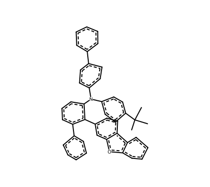 CC(C)(C)c1ccc(N(c2ccc(-c3ccccc3)cc2)c2cccc(-c3ccccc3)c2-c2ccc3c(c2)oc2ccccc23)cc1